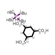 CCCC[PH](CCCC)(CCCC)CCCC.O=C(O)C1CC(C(=O)O)CC(S(=O)(=O)O)C1